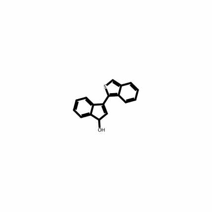 OC1C=C(c2scc3ccccc23)c2ccccc21